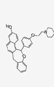 Oc1ccc2c3c(ccc2c1)Cc1ccccc1OC3c1ccc(OCCN2CCCCC2)cc1